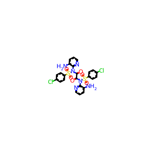 Nc1cccnc1N(C(=O)C(=O)N(c1ncccc1N)S(=O)(=O)c1ccc(Cl)cc1)S(=O)(=O)c1ccc(Cl)cc1